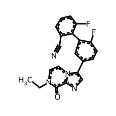 CCn1ccn2c(-c3ccc(F)c(-c4c(F)cccc4C#N)c3)cnc2c1=O